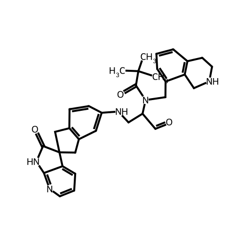 CC(C)(C)C(=O)N(Cc1cccc2c1CNCC2)C(C=O)CNc1ccc2c(c1)CC1(C2)C(=O)Nc2ncccc21